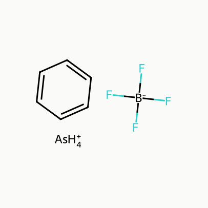 F[B-](F)(F)F.[AsH4+].c1ccccc1